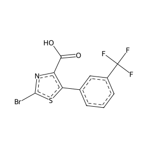 O=C(O)c1nc(Br)sc1-c1cccc(C(F)(F)F)c1